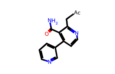 CC(=O)Cc1nccc(-c2cccnc2)c1C(N)=O